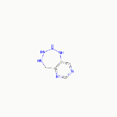 c1ncc2c(n1)CNNNN2